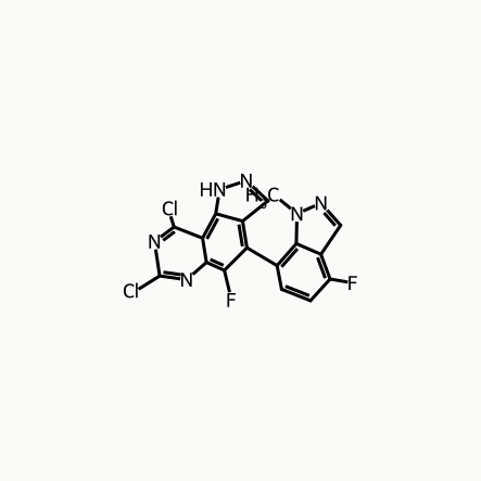 Cn1ncc2c(F)ccc(-c3c(F)c4nc(Cl)nc(Cl)c4c4[nH]ncc34)c21